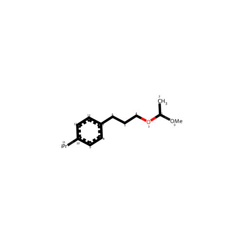 COC(C)OCCCc1ccc(C(C)C)cc1